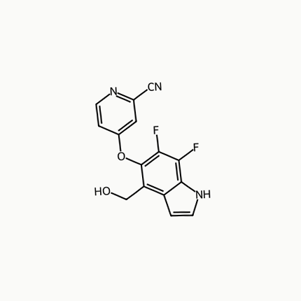 N#Cc1cc(Oc2c(F)c(F)c3[nH]ccc3c2CO)ccn1